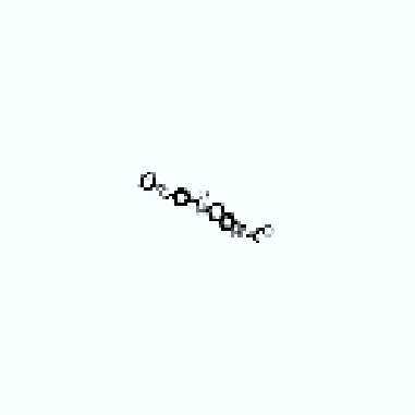 COCC(C)NCc1ccc2c(c1)CC[C@H](NC(=O)c1ccc(OC[C@@H]3CCCO3)cc1)C2